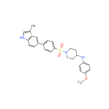 N#Cc1c[nH]c2ccc(-c3ccc(S(=O)(=O)N4CCC(Nc5ccc(OC(F)(F)F)cc5)CC4)cc3)cc12